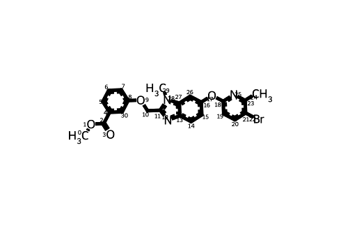 COC(=O)c1cccc(OCc2nc3ccc(Oc4ccc(Br)c(C)n4)cc3n2C)c1